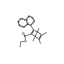 CCOC(=O)C1=C(c2cccc3ccccc23)C2(C)C(C)=C(C)C12C